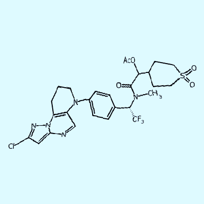 CC(=O)OC(C(=O)N(C)[C@@H](c1ccc(N2CCCc3c2cnc2cc(Cl)nn32)cc1)C(F)(F)F)C1CCS(=O)(=O)CC1